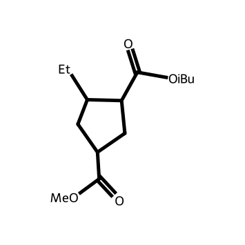 CCC1CC(C(=O)OC)CC1C(=O)OCC(C)C